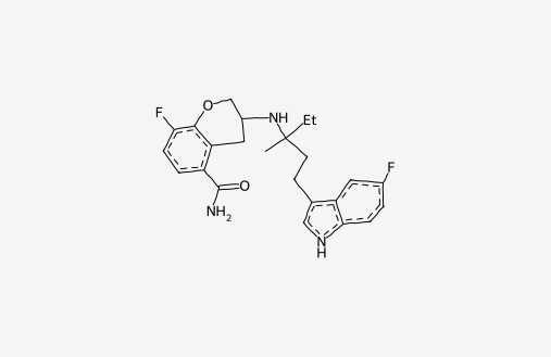 CCC(C)(CCc1c[nH]c2ccc(F)cc12)NC1COc2c(F)ccc(C(N)=O)c2C1